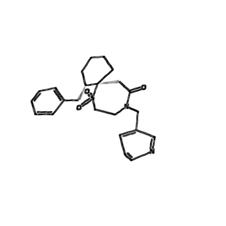 O=C1C[C@]2(CCCC[C@H]2Cc2ccccc2)S(=O)(=O)CCN1Cc1cccnc1